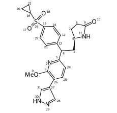 COc1nc(C(C[C@H]2CCC(=O)N2)c2ccc(S(=O)(=O)C3CC3)cc2)ccc1-c1cn[nH]c1